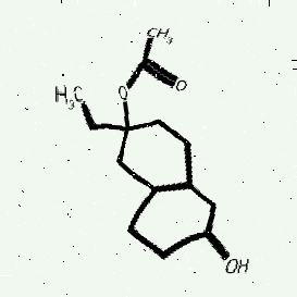 CCC1(OC(C)=O)CCC2CC(O)CCC2C1